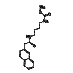 CC(C)(C)OC(=O)NCCCCNC(=O)Cc1ccc2ccccc2c1